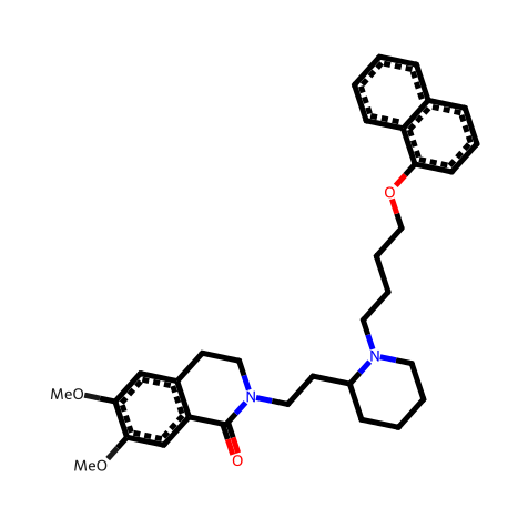 COc1cc2c(cc1OC)C(=O)N(CCC1CCCCN1CCCCOc1cccc3ccccc13)CC2